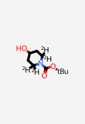 [2H]C1([2H])CC(O)CC([2H])([2H])N1C(=O)OC(C)(C)C